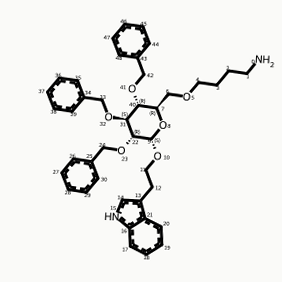 NCCCCOC[C@H]1O[C@H](OCCc2c[nH]c3ccccc23)[C@H](OCc2ccccc2)[C@@H](OCc2ccccc2)[C@@H]1OCc1ccccc1